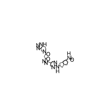 CC(=O)Nc1ccc2c(c1)CC(Nc1ncc(-c3nnc(CC(=O)N4CCc5[nH]nnc5C4)o3)cn1)C2